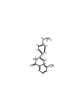 N#Cc1cccc2c(=O)[nH]c(-c3ccc(CN)cc3)cc12